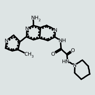 Cc1ccncc1-c1cc2cc(NC(=O)C(=O)NN3CCCCC3)ncc2c(N)n1